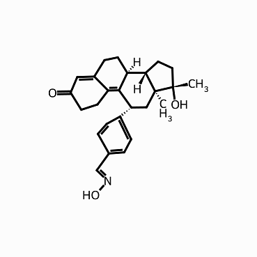 C[C@]1(O)CC[C@H]2[C@@H]3CCC4=CC(=O)CCC4=C3[C@@H](c3ccc(/C=N/O)cc3)C[C@@]21C